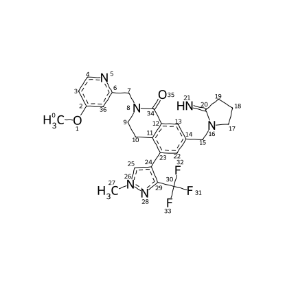 COc1ccnc(CN2CCc3c(cc(CN4CCCC4=N)cc3-c3cn(C)nc3C(F)(F)F)C2=O)c1